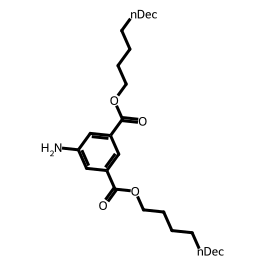 CCCCCCCCCCCCCCOC(=O)c1cc(N)cc(C(=O)OCCCCCCCCCCCCCC)c1